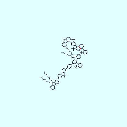 CCCCCCCC1(CCCCCCC)c2ccccc2-c2ccc(-c3ccc4c(c3)C(C)(C)c3cc(-c5ccc(-c6cc7c(c8c6oc6ccccc68)-c6ccc(N(c8ccc9c(c8)C(C)(C)c8cc%10c(cc8-9)C(C)(C)c8ccc9oc%11ccccc%11c9c8-%10)c8ccccc8-c8ccccc8)cc6C7(CCCCCCC)CCCCCCC)cc5)ccc3-4)cc21